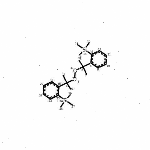 CC(C)(OOC(C)(C)c1ccccc1[Si](C)(C)C)c1ccccc1[Si](C)(C)C